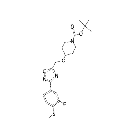 CSc1ccc(-c2noc(COC3CCN(C(=O)OC(C)(C)C)CC3)n2)cc1F